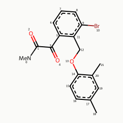 CNC(=O)C(=O)c1cccc(Br)c1COc1ccc(C)cc1C